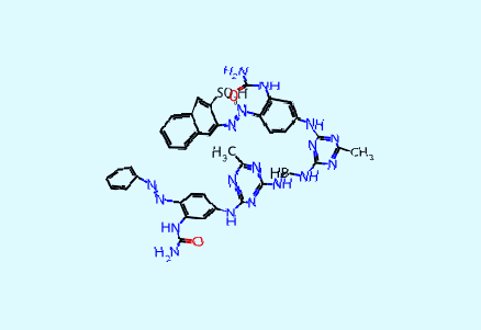 Cc1nc(NBNc2nc(C)nc(Nc3ccc(N=Nc4cc5ccccc5cc4S(=O)(=O)O)c(NC(N)=O)c3)n2)nc(Nc2ccc(N=Nc3ccccc3)c(NC(N)=O)c2)n1